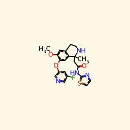 COc1cc2c(cc1Oc1cncc(F)c1)C(C)(CC(=O)Nc1nccs1)NCC2